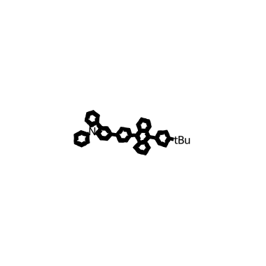 CC(C)(C)c1ccc(-c2c3ccccc3c(-c3ccc(-c4ccc5c(c4)c4ccccc4n5-c4ccccc4)cc3)c3ccccc23)cc1